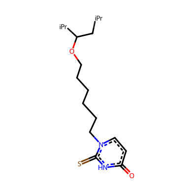 CC(C)CC(OCCCCCCn1ccc(=O)[nH]c1=S)C(C)C